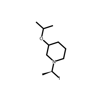 CC(C)OC1CCCN([C@H](C)I)C1